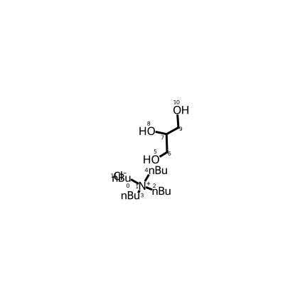 CCCC[N+](CCCC)(CCCC)CCCC.OCC(O)CO.[Cl-]